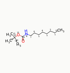 CCCCCCC[CH]NC(=O)OC(C)(C)C